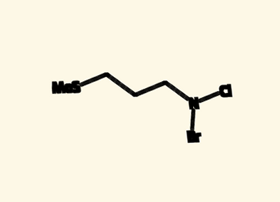 CSCCCN(Cl)Br